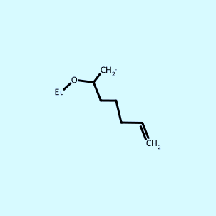 [CH2]C(CCCC=C)OCC